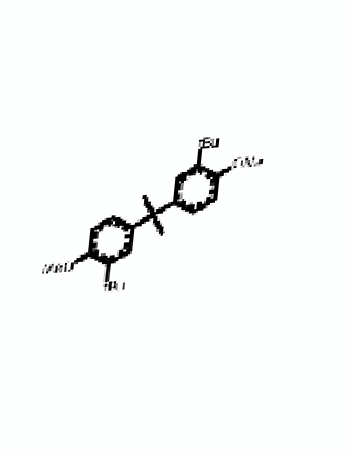 COc1ccc(C(C)(C)c2ccc(OC)c(C(C)(C)C)c2)cc1C(C)(C)C